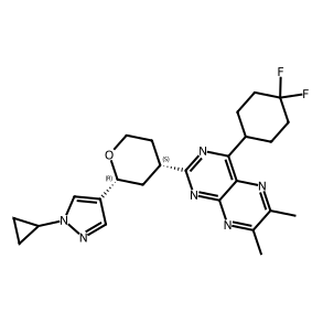 Cc1nc2nc([C@H]3CCO[C@@H](c4cnn(C5CC5)c4)C3)nc(C3CCC(F)(F)CC3)c2nc1C